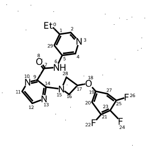 CCc1cncc(NC(=O)c2nccnc2N2CC(Oc3cc(F)c(F)c(F)c3)C2)c1